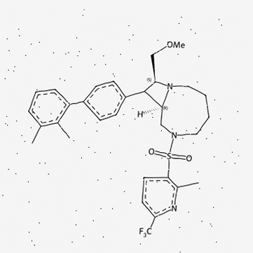 COC[C@@H]1C(c2ccc(-c3cccc(C)c3C)cc2)[C@@H]2CN(S(=O)(=O)c3ccc(C(F)(F)F)nc3C)CCCCN12